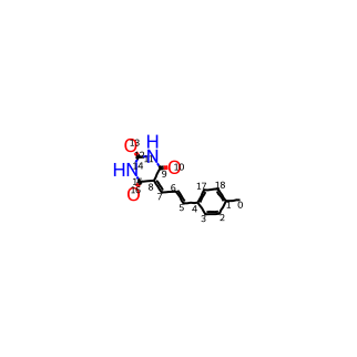 Cc1ccc(/C=C/C=C2C(=O)NC(=O)NC2=O)cc1